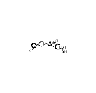 O=C(O)N1CCC2(CC1)CC(CCN1CCN(c3cccc(Cl)c3)CC1)NC2=O